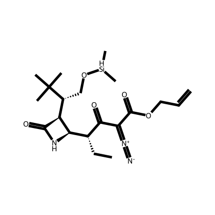 C=CCOC(=O)C(=[N+]=[N-])C(=O)[C@H](CC)[C@H]1NC(=O)[C@H]1[C@@H](CO[SiH](C)C)C(C)(C)C